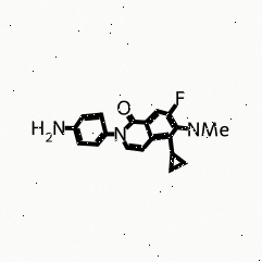 CNc1c(F)cc2c(=O)n(-c3ccc(N)cc3)ccc2c1C1CC1